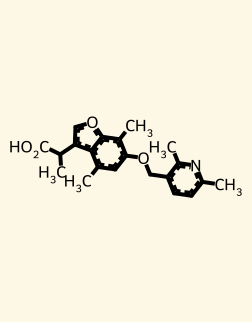 Cc1ccc(COc2cc(C)c3c(C(C)C(=O)O)coc3c2C)c(C)n1